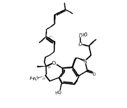 CC(C)=CCC/C(C)=C/CC[C@]1(C)Oc2c(c(O)cc3c2CN(CC(C)OC=O)C3=O)C[C@@H]1O